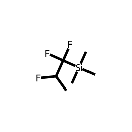 CC(F)C(F)(F)[Si](C)(C)C